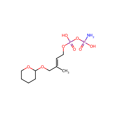 CC(=CCOP(=O)(O)OP(N)(=O)O)COC1CCCCO1